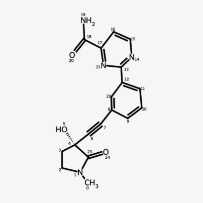 CN1CC[C@@](O)(C#Cc2cccc(-c3nccc(C(N)=O)n3)c2)C1=O